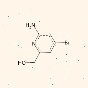 Nc1cc(Br)cc(CO)n1